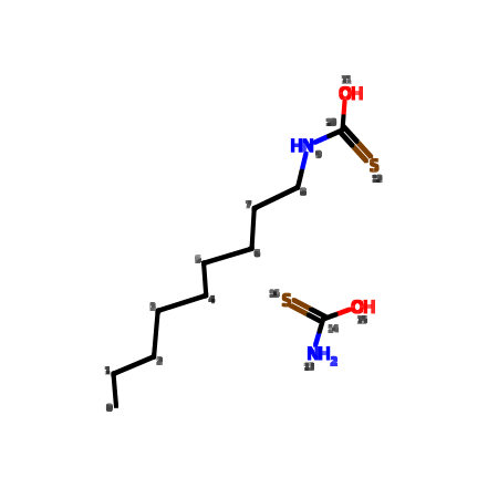 CCCCCCCCCNC(O)=S.NC(O)=S